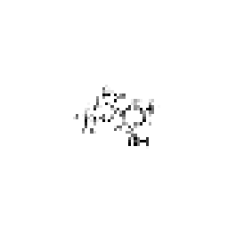 CC(C)(C)[Si](C)(C)OC1(c2cc(O)cc(Br)n2)COC1